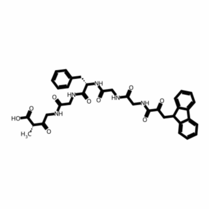 C[C@H](C(=O)O)C(=O)CNC(=O)CNC(=O)[C@H](Cc1ccccc1)NC(=O)CNC(=O)CNC(=O)C(=O)CC1c2ccccc2-c2ccccc21